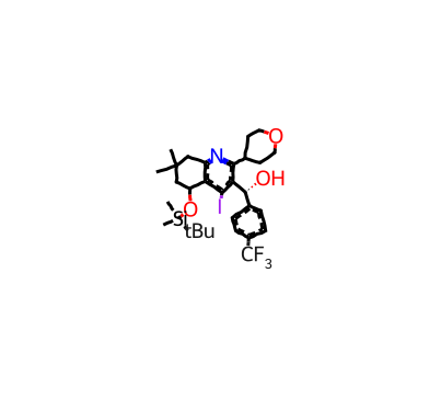 CC1(C)Cc2nc(C3CCOCC3)c([C@H](O)c3ccc(C(F)(F)F)cc3)c(I)c2C(O[Si](C)(C)C(C)(C)C)C1